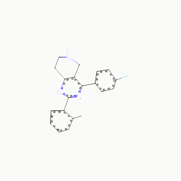 Cc1ccccc1-c1nc2c(c(-c3ccc(F)cc3)n1)CNCC2